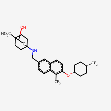 O=C(O)C12CCC(NCc3ccc4c(C(F)(F)F)c(O[C@H]5CC[C@@H](C(F)(F)F)CC5)ccc4c3)(CC1)CC2O